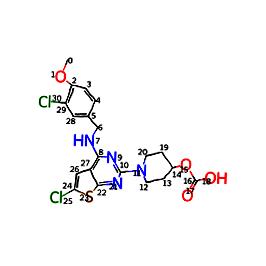 COc1ccc(CNc2nc(N3CCC(OC(=O)O)CC3)nc3sc(Cl)cc23)cc1Cl